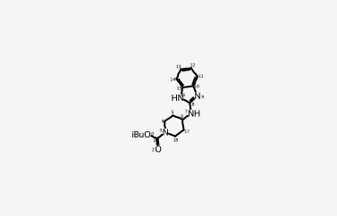 CC(C)COC(=O)N1CCC(Nc2nc3ccccc3[nH]2)CC1